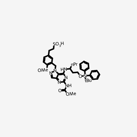 CCCC(CCO[Si](c1ccccc1)(c1ccccc1)C(C)(C)C)Nc1nc(NC(=O)OC)nc2cnn(Cc3cc(CCS(=O)(=O)O)ccc3OC)c12